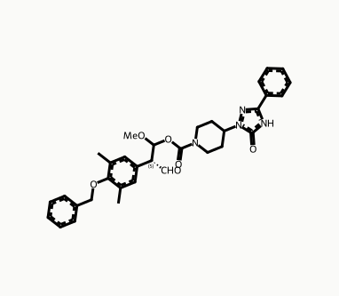 COC(OC(=O)N1CCC(n2nc(-c3ccccc3)[nH]c2=O)CC1)[C@H](C=O)c1cc(C)c(OCc2ccccc2)c(C)c1